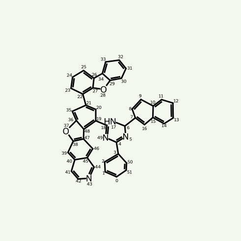 c1ccc(C2=NC(c3ccc4ccccc4c3)NC(c3cc(-c4cccc5c4oc4ccccc45)cc4oc5cc6ccncc6cc5c34)=N2)cc1